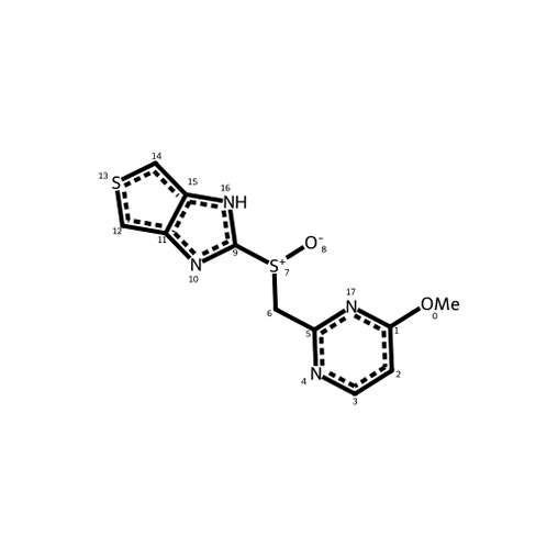 COc1ccnc(C[S+]([O-])c2nc3cscc3[nH]2)n1